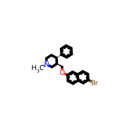 CN1CC[C@H](c2ccccc2)[C@@H](COc2ccc3cc(Br)ccc3c2)C1